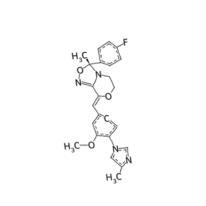 COc1cc(/C=C2\OCCN3C2=NO[C@]3(C)c2ccc(F)cc2)ccc1-n1cnc(C)c1